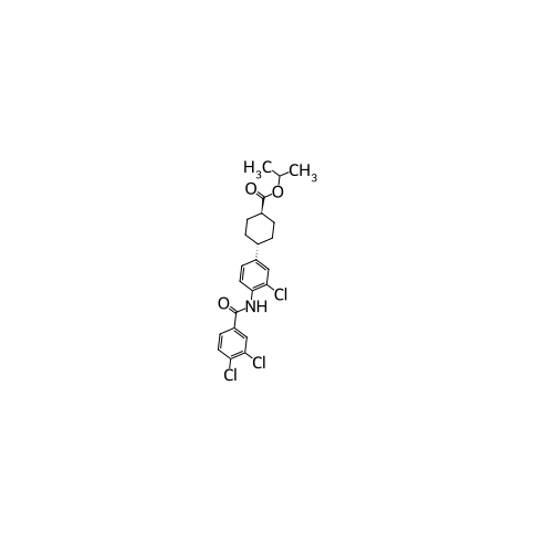 CC(C)OC(=O)[C@H]1CC[C@H](c2ccc(NC(=O)c3ccc(Cl)c(Cl)c3)c(Cl)c2)CC1